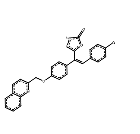 O=c1[nH]nc(C(=Cc2ccc(Cl)cc2)c2ccc(OCc3ccc4ccccc4n3)cc2)o1